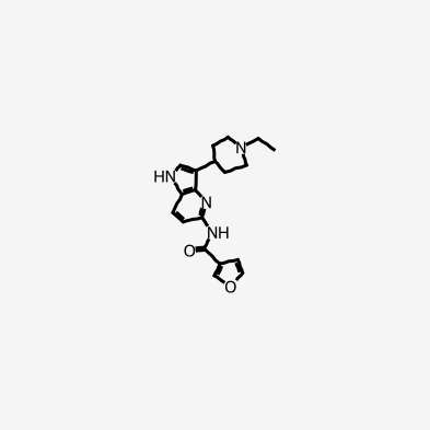 CCN1CCC(c2c[nH]c3ccc(NC(=O)c4ccoc4)nc23)CC1